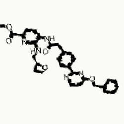 COC(=O)c1ccc(NC(=O)Cc2ccc(-c3nccc(OCc4ccccc4)n3)cc2)c(NC[C@@H]2CCO2)n1